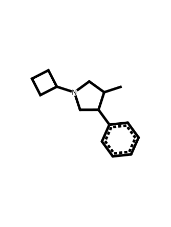 CC1CN(C2CCC2)CC1c1ccccc1